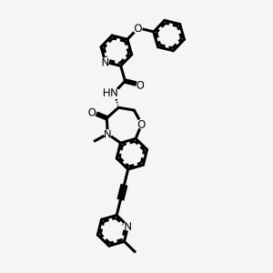 Cc1cccc(C#Cc2ccc3c(c2)N(C)C(=O)[C@H](NC(=O)c2cc(Oc4ccccc4)ccn2)CO3)n1